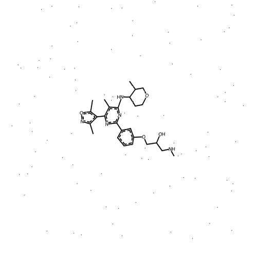 CNCC(O)COc1cccc(-c2nc(NC3CCOCC3C)c(C)c(-c3c(C)noc3C)n2)c1